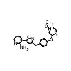 CO[n+]1ccnc(Oc2ccc(Cc3cc(-c4cccnc4N)on3)cc2)c1